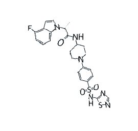 C[C@H](C(=O)NC1CCN(c2ccc(S(=O)(=O)Nc3ncns3)cc2)CC1)n1ccc2c(F)cccc21